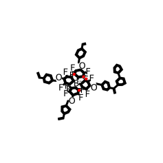 C=Cc1ccc(COc2c(F)c(F)c([B-](c3c(F)c(F)c(OCc4ccc(C=C)cc4)c(F)c3F)(c3c(F)c(F)c(OCc4ccc(C=C)cc4)c(F)c3F)c3c(F)c(F)c(OCc4ccc(C(=C)c5cccc(-c6ccccc6)c5)cc4)c(F)c3F)c(F)c2F)cc1